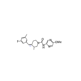 COc1cnc(NC(=O)N2CC/C(=C\c3cc(C)cc(F)c3)C(C)C2)cn1